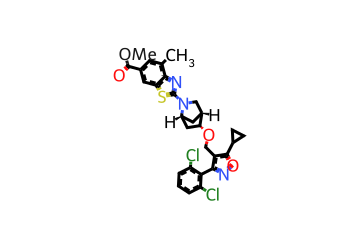 COC(=O)c1cc(C)c2nc(N3C[C@H]4C[C@@H]3C[C@@H]4OCc3c(-c4c(Cl)cccc4Cl)noc3C3CC3)sc2c1